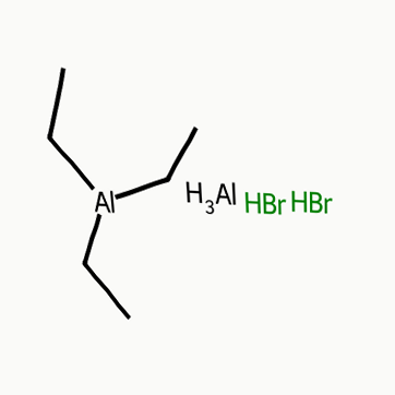 Br.Br.C[CH2][Al]([CH2]C)[CH2]C.[AlH3]